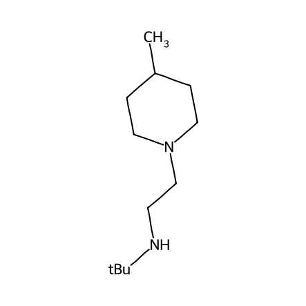 CC1CCN(CCNC(C)(C)C)CC1